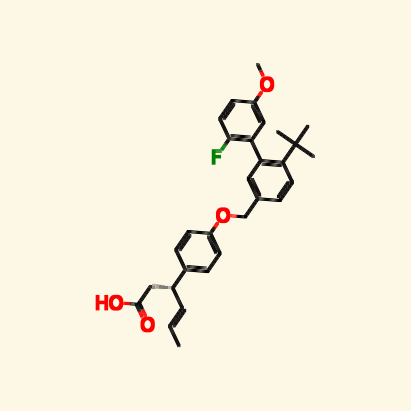 C/C=C/[C@H](CC(=O)O)c1ccc(OCc2ccc(C(C)(C)C)c(-c3cc(OC)ccc3F)c2)cc1